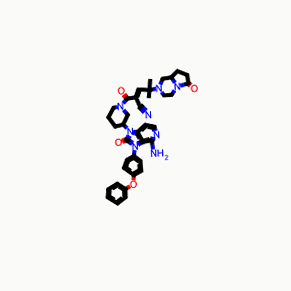 CC(C)(C=C(C#N)C(=O)N1CCCC(n2c(=O)n(-c3ccc(Oc4ccccc4)cc3)c3c(N)nccc32)C1)N1CCN2C(=O)CCC2C1